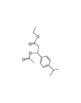 CCOC(=O)CC(OC(C)=O)c1ccc(C(C)C)cc1